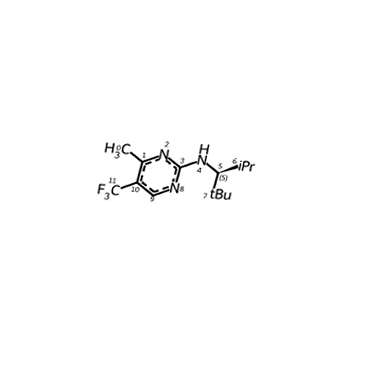 Cc1nc(N[C@@H](C(C)C)C(C)(C)C)ncc1C(F)(F)F